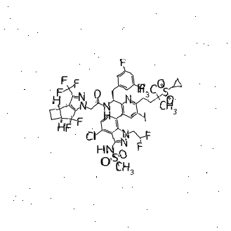 CC(C)(CCc1nc([C@H](Cc2cc(F)cc(F)c2)NC(=O)Cn2nc(C(F)(F)F)c3c2C(F)(F)[C@@H]2CC[C@H]32)c(-c2ccc(Cl)c3c(NS(C)(=O)=O)nn(CC(F)F)c23)cc1I)S(=O)(=O)C1CC1